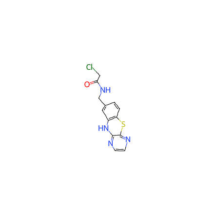 O=C(CCl)NCc1ccc2c(c1)Nc1nccnc1S2